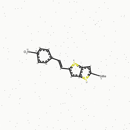 CSc1cc2sc(/C=C/c3ccc([N+](=O)[O-])cc3)cc2s1